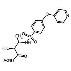 CC(=O)NC(=O)[C@@H](C)[C@@H](C)NS(=O)(=O)c1ccc(Oc2ccncc2)cc1